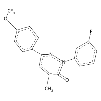 Cc1cc(-c2ccc(OC(F)(F)F)cc2)nn(-c2cccc(F)c2)c1=O